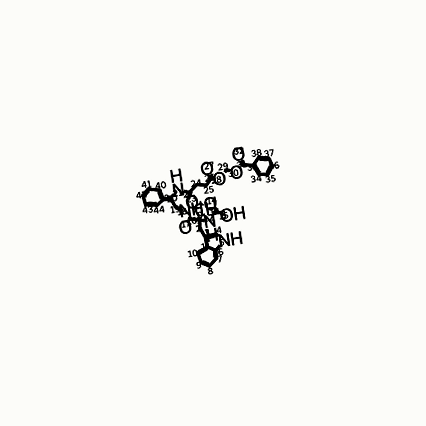 CC(Cc1c[nH]c2ccccc12)(NC(=O)O)C(=O)NCC(NC(=O)CCC(=O)OCOC(=O)c1ccccc1)c1ccccc1